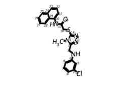 Cn1c(CNc2cccc(Cl)c2)nnc1SCC(=O)Nc1cccc2ccccc12